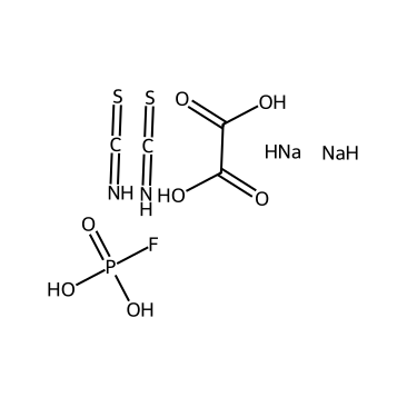 N=C=S.N=C=S.O=C(O)C(=O)O.O=P(O)(O)F.[NaH].[NaH]